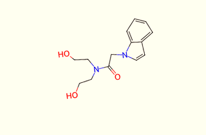 O=C(Cn1ccc2ccccc21)N(CCO)CCO